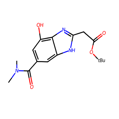 CN(C)C(=O)c1cc(O)c2nc(CC(=O)OC(C)(C)C)[nH]c2c1